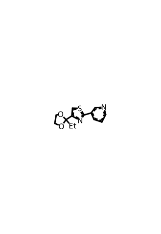 CCC1(c2csc(-c3cccnc3)n2)OCCO1